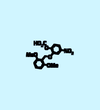 COc1cccc(OC)c1COc1cc([N+](=O)[O-])ccc1OC(=O)O